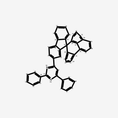 c1ccc(-c2cc(-c3ccc4c(c3)C3(c5ccccc5-4)c4ccccc4-c4cccc5cccc3c45)nc(-c3ccccc3)n2)cc1